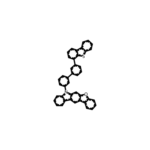 c1cc(-c2cccc(-n3c4ccccc4c4cc5c(cc43)oc3ccccc35)c2)cc(-c2cccc3c2sc2ccccc23)c1